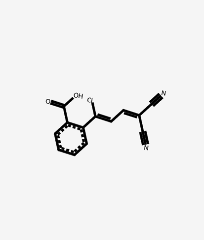 N#CC(C#N)=CC=C(Cl)c1ccccc1C(=O)O